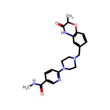 CNC(=O)c1ccc(N2CCN(Cc3ccc4c(c3)NC(=O)C(C)O4)CC2)nc1